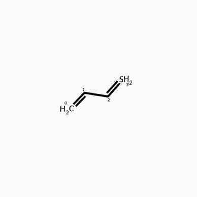 C=CC=[SH2]